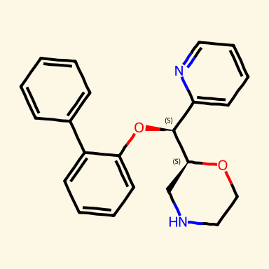 c1ccc(-c2ccccc2O[C@@H](c2ccccn2)[C@@H]2CNCCO2)cc1